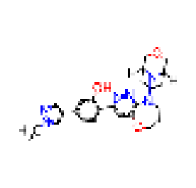 Cn1cc(-c2ccc(-c3cc4c(nn3)N(C3C[C@H]5COC[C@@H](C3)N5)CCCO4)c(O)c2)cn1